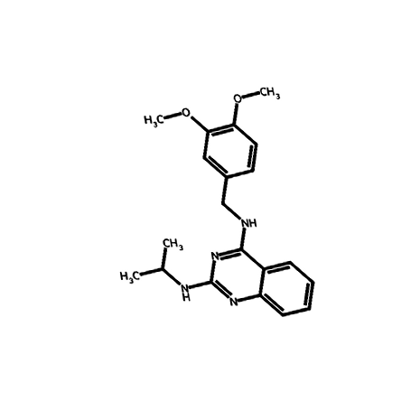 COc1ccc(CNc2nc(NC(C)C)nc3ccccc23)cc1OC